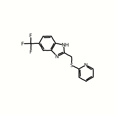 FC(F)(F)c1ccc2[nH]c(CSc3ccccn3)nc2c1